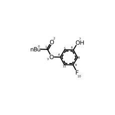 CCCCC(=O)Oc1cc(O)cc(F)c1